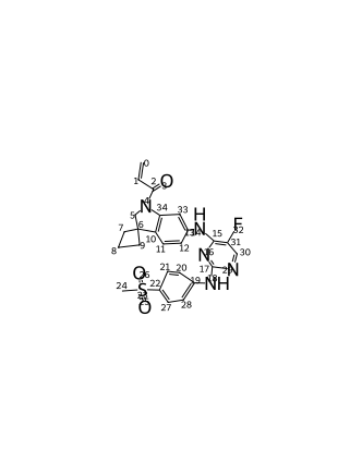 C=CC(=O)N1CC2(CCC2)c2ccc(Nc3nc(Nc4ccc(S(C)(=O)=O)cc4)ncc3F)cc21